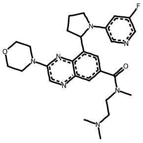 CN(C)CCN(C)C(=O)c1cc(C2CCCN2c2cncc(F)c2)c2nc(N3CCOCC3)cnc2c1